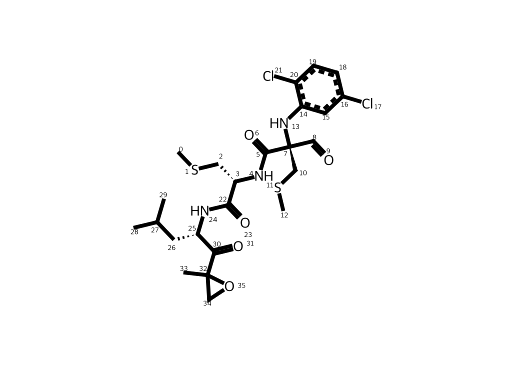 CSC[C@H](NC(=O)[C@](C=O)(CSC)Nc1cc(Cl)ccc1Cl)C(=O)N[C@@H](CC(C)C)C(=O)C1(C)CO1